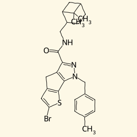 Cc1ccc(Cn2nc(C(=O)NCC3CCC4CC3C4(C)C)c3c2-c2sc(Br)cc2C3)cc1